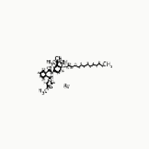 CCCCCCCCCCCCCCOc1ccc(NC(=O)c2ccccc2C[n+]2csc(C)c2)cc1C(C)(C)C.[Br-]